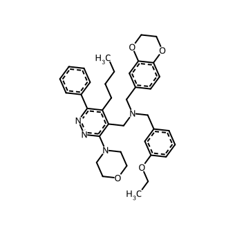 CCCCc1c(-c2ccccc2)nnc(N2CCOCC2)c1CN(Cc1cccc(OCC)c1)Cc1ccc2c(c1)OCCO2